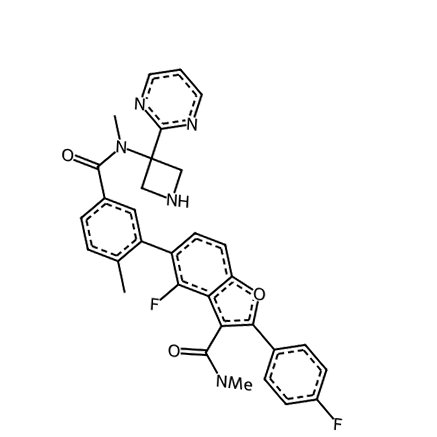 CNC(=O)c1c(-c2ccc(F)cc2)oc2ccc(-c3cc(C(=O)N(C)C4(c5ncccn5)CNC4)ccc3C)c(F)c12